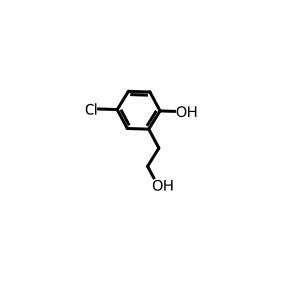 OCCc1cc(Cl)ccc1O